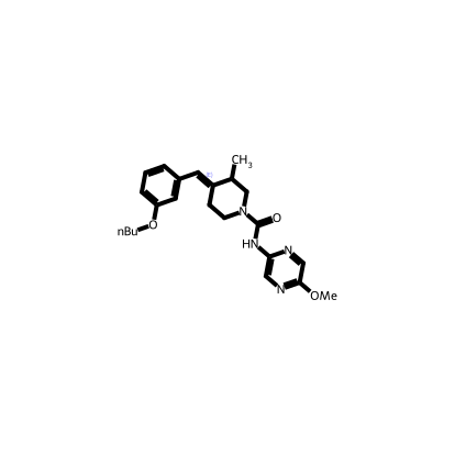 CCCCOc1cccc(/C=C2\CCN(C(=O)Nc3cnc(OC)cn3)CC2C)c1